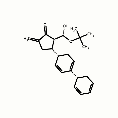 C=C1CC([C@H]2C=CC([C@H]3C=CC=CC3)=CC2)N([C@H](O)OC(C)(C)C)C1=O